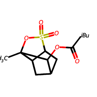 CCC(C)C(=O)OC1C2CC3C(C2)S(=O)(=O)OC31C